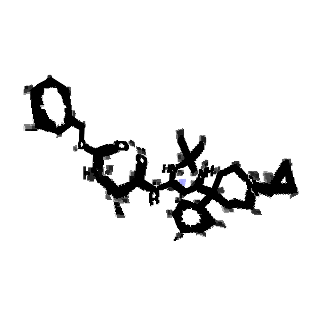 C[C@H](NC(=O)OCc1ccccc1)C(=O)N/C(=C/C(=N)C1(c2ccccc2)CCN(C2CC2)CC1)NC(C)(C)C